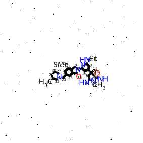 CCNc1cc(C2(CC(=N)N(C)C=N)COC2)cc(N2Cc3c(SC)cc(CN4CCC[C@H](C)C4)cc3C2=O)n1